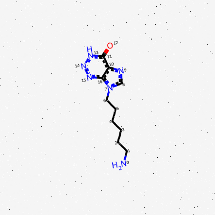 NCCCCCCn1cnc2c(=O)[nH]nnc21